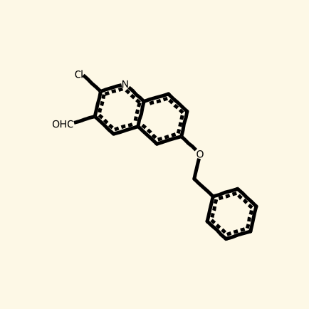 O=Cc1cc2cc(OCc3ccccc3)ccc2nc1Cl